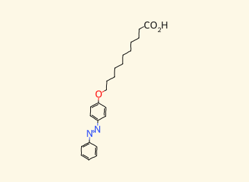 O=C(O)CCCCCCCCCCOc1ccc(N=Nc2ccccc2)cc1